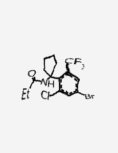 CCC(=O)NC1(c2c(Cl)cc(Br)cc2C(F)(F)F)CCCC1